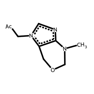 CC(=O)Cn1cnc2c1COCN2C